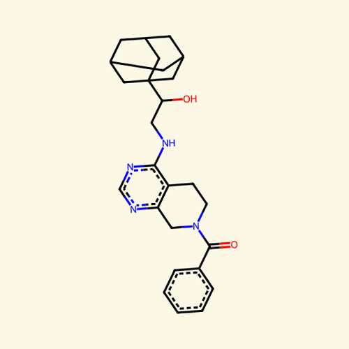 O=C(c1ccccc1)N1CCc2c(ncnc2NCC(O)C23CC4CC(CC(C4)C2)C3)C1